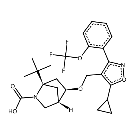 CC(C)(C)[C@@]12C[C@@H](CN1C(=O)O)[C@H](OCc1c(-c3ccccc3OC(F)(F)F)noc1C1CC1)C2